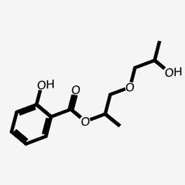 CC(O)COCC(C)OC(=O)c1ccccc1O